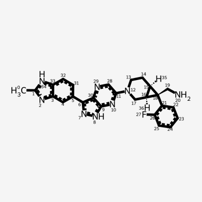 Cc1nc2cc(-c3n[nH]c4nc(N5CC[C@@H]6[C@H](C5)[C@@]6(CN)c5ccccc5F)cnc34)ccc2[nH]1